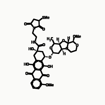 COc1cccc2c1C(=O)c1c(O)c3c(c(O)c1C2=O)C[C@@](O)(C(=O)NCCN1C(=O)CC(SC)C1=O)C[C@@H]3O[C@H]1C[C@H]2[C@H](O[C@@H]3[C@@H](OC)OCCN32)C(C)O1